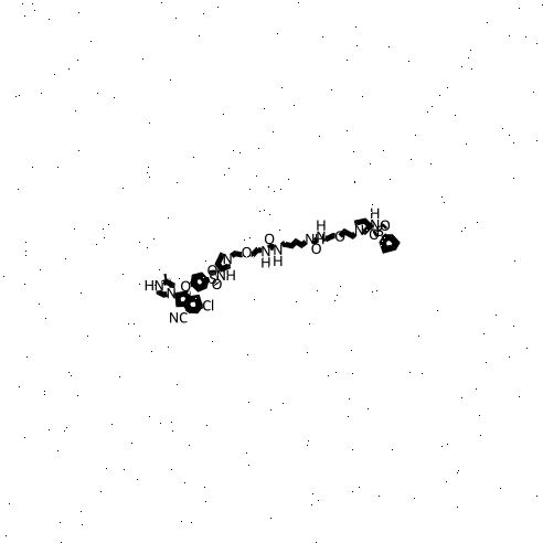 C[C@H]1CN([C@H]2Cc3c(C#N)cc(Cl)cc3[C@@H]2Oc2ccc(S(=O)(=O)N[C@@H]3CCN(CCOCCNC(=O)NCCCCNC(=O)NCCOCCN4CC[C@@H](NS(=O)(=O)c5ccccc5)C4)C3)cc2)CCN1